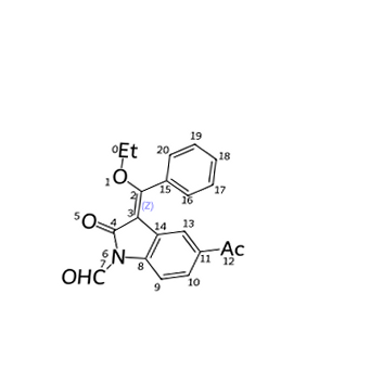 CCO/C(=C1\C(=O)N(C=O)c2ccc(C(C)=O)cc21)c1ccccc1